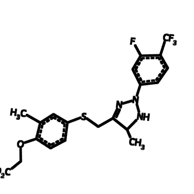 Cc1cc(SCC2=NN(c3ccc(C(F)(F)F)c(F)c3)NC2C)ccc1OCC(=O)O